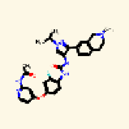 CC(=O)Nc1cc(Oc2ccc(NC(=O)Nc3cn(C(C)C)nc3-c3ccc4c(c3)CN(C)CC4)c(F)c2)ccn1